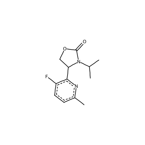 Cc1ccc(F)c(C2COC(=O)N2C(C)C)n1